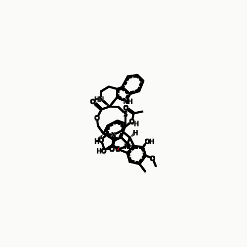 COc1c(C)cc2c(c1O)[C@H]1NCC(O)(C2)N2C1[C@@H]1SC[C@]3(NCCc4c3[nH]c3ccccc43)C(=O)OC[C@H]2c2c3c(c(C)c(OC(C)=O)c21)OCO3